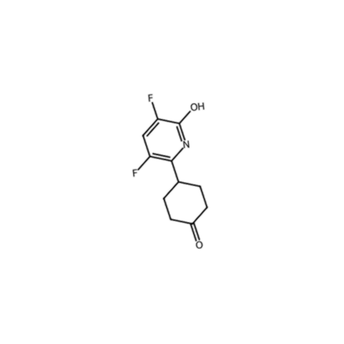 O=C1CCC(c2nc(O)c(F)cc2F)CC1